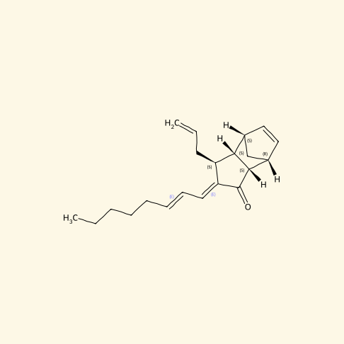 C=CC[C@@H]1/C(=C\C=C\CCCCC)C(=O)[C@@H]2[C@H]1[C@@H]1C=C[C@H]2C1